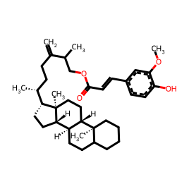 C=C(CC[C@@H](C)[C@H]1CC[C@H]2[C@@H]3CCC4CCCC[C@]4(C)[C@H]3CC[C@]12C)C(C)COC(=O)/C=C/c1ccc(O)c(OC)c1